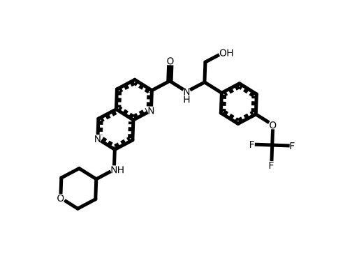 O=C(NC(CO)c1ccc(OC(F)(F)F)cc1)c1ccc2cnc(NC3CCOCC3)cc2n1